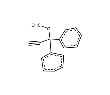 C#CC(OC=O)(c1ccccc1)c1ccccc1